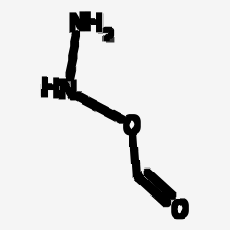 NNOC=O